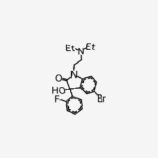 CCN(CC)CCN1C(=O)C(O)(c2ccccc2F)c2cc(Br)ccc21